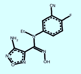 CCN(C(=NO)c1nonc1N)c1ccc(F)c(C#N)c1